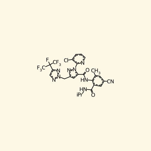 Cc1cc(C#N)cc(C(=O)NC(C)C)c1NC(=O)c1cc(Cn2ncc(C(F)(C(F)(F)F)C(F)(F)F)n2)nn1-c1ncccc1Cl